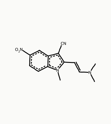 CN(C)C=Cc1c(C#N)c2cc([N+](=O)[O-])ccc2n1C